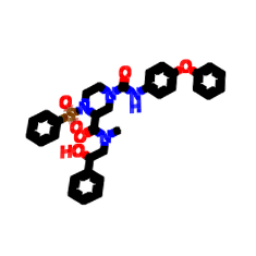 CN(CC(O)c1ccccc1)C(=O)C1CN(C(=O)Nc2ccc(Oc3ccccc3)cc2)CCN1S(=O)(=O)c1ccccc1